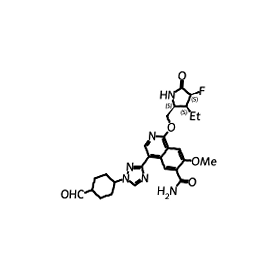 CC[C@@H]1[C@H](F)C(=O)N[C@@H]1COc1ncc(-c2ncn(C3CCC(C=O)CC3)n2)c2cc(C(N)=O)c(OC)cc12